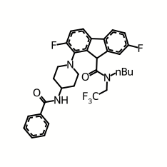 CCCCN(CC(F)(F)F)C(=O)C1c2cc(F)ccc2-c2ccc(F)c(N3CCC(NC(=O)c4ccccc4)CC3)c21